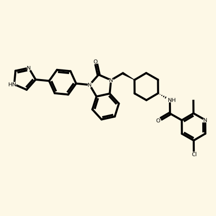 Cc1ncc(Cl)cc1C(=O)N[C@H]1CC[C@H](Cn2c(=O)n(-c3ccc(-c4c[nH]cn4)cc3)c3ccccc32)CC1